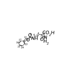 NC(=O)C(CCCNC(=O)OCc1ccccc1)C(=O)O